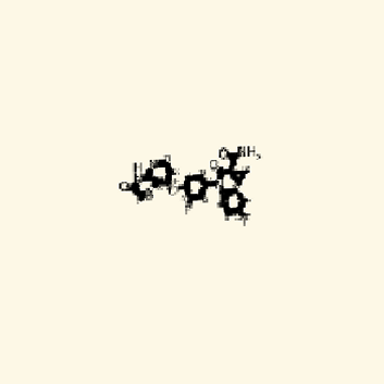 NC(=O)C1(C(=O)N(c2ccc(F)cc2)c2ccc(Oc3ccnc4[nH]c(=O)cnc34)c(F)c2)CC1